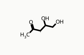 CC(=O)[CH]C(O)CO